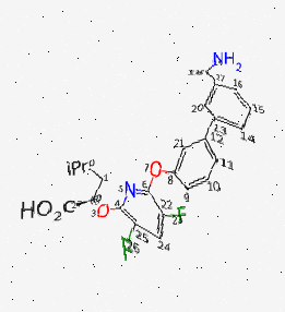 CC(C)C[C@@H](Oc1nc(Oc2cccc(-c3cccc(CN)c3)c2)c(F)cc1F)C(=O)O